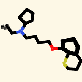 CCN(CCCCOc1cccc2c1SCCC2)C1CCCC1